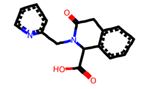 O=C(O)C1c2ccccc2CC(=O)N1Cc1ccccn1